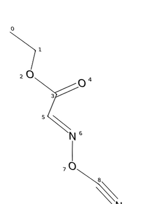 CCOC(=O)C=NOC#N